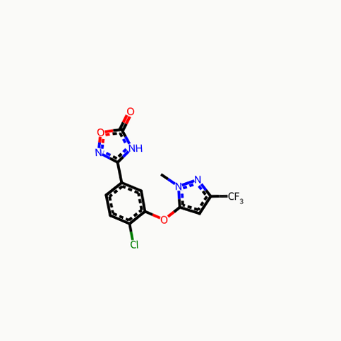 Cn1nc(C(F)(F)F)cc1Oc1cc(-c2noc(=O)[nH]2)ccc1Cl